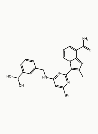 Cc1nc2c(C(N)=O)cccn2c1-c1nc(NCc2cccc(B(O)O)c2)cc(C(C)C)n1